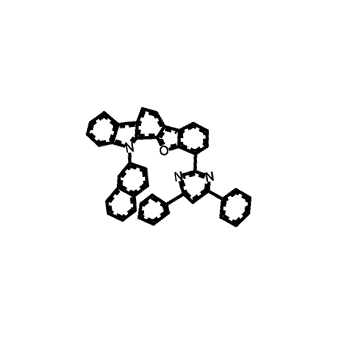 c1ccc(-c2cc(-c3ccccc3)nc(-c3cccc4c3oc3c4ccc4c5ccccc5n(-c5ccc6ccccc6c5)c43)n2)cc1